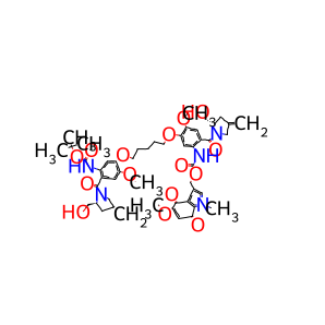 C=C1C[C@@H](CO)N(C(=O)c2cc(OC)c(OCCCCCOc3cc(NC(=O)OC(C)(C)C)c(C(=O)N4CC(=C)C[C@H]4CO)cc3OC)cc2NC(=O)OCc2cn(C)c3c2C(=O)C(OC)=CC3=O)C1